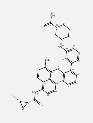 Cc1ccc2c(NC(=O)[C@@H]3C[C@@H]3F)cccc2c1Oc1ncccc1-c1ccnc(N[C@H]2CCCN(C(=O)O)C2)n1